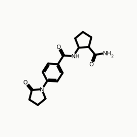 NC(=O)C1CCCC1NC(=O)c1ccc(N2CCCC2=O)cc1